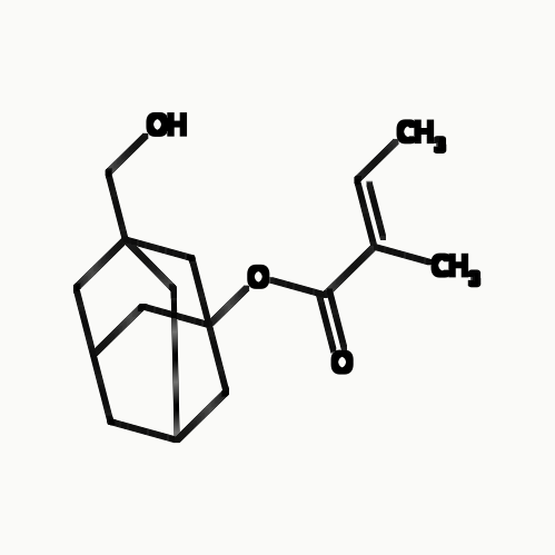 CC=C(C)C(=O)OC12CC3CC(CC(CO)(C3)C1)C2